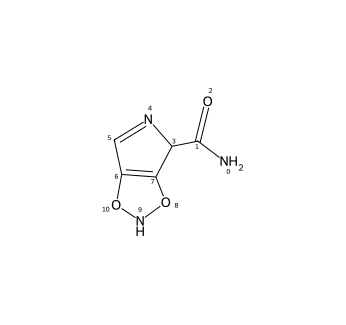 NC(=O)C1N=CC2=C1ONO2